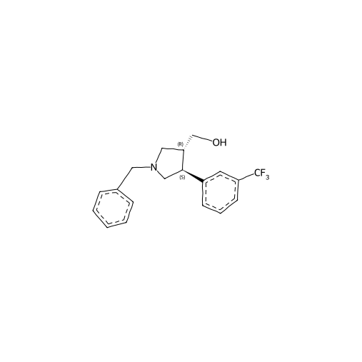 OC[C@H]1CN(Cc2ccccc2)C[C@@H]1c1cccc(C(F)(F)F)c1